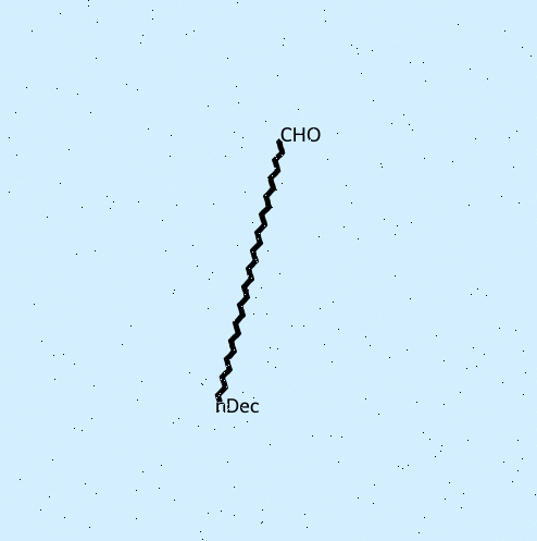 CCCCCCCCCCCCCCCCCCCCCCCCCCCCCCCCCCCCCCCC=O